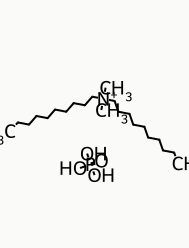 CCCCCCCCCC[N+](C)(C)CCCCCCCCCC.O=P(O)(O)O